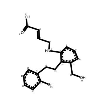 O=C(O)/C=C/CNc1cccc(CO)c1CCc1ccccc1Br